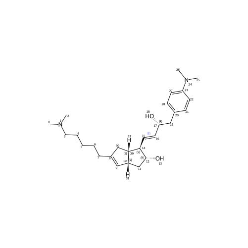 CN(C)CCCCCC1=C[C@H]2C[C@@H](O)[C@H](/C=C/[C@H](O)Cc3ccc(N(C)C)cc3)[C@H]2C1